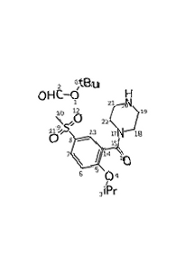 CC(C)(C)OC=O.CC(C)Oc1ccc(S(C)(=O)=O)cc1C(=O)N1CCNCC1